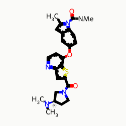 CNC(=O)n1c(C)cc2cc(Oc3ccnc4cc(C(=O)N5CC[C@@H](N(C)C)C5)sc34)ccc21